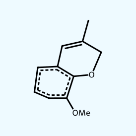 COc1cccc2c1OCC(C)=C2